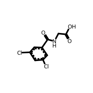 O=C(O)CNC(=O)c1cc(Cl)cc(Cl)c1